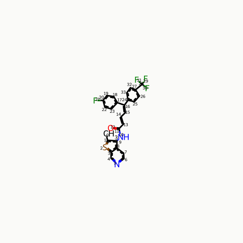 Cc1sc2cnccc2c1NC(=O)/C=C/C=C(\c1ccc(F)cc1)c1ccc(C(F)(F)F)cc1